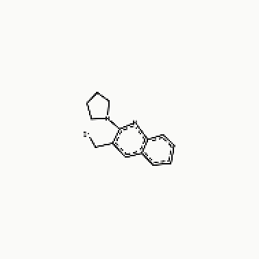 BrCc1cc2ccccc2nc1N1CCCC1